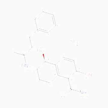 CC(CCc1ccccc1)N[C@H]1CCc2c(ccc(O)c2C(N)=O)[C@@H]1O.Cl